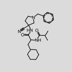 CC(C)C(=O)NC(CC1CCCCC1)C(=O)NC1(C#N)CCN(Cc2ccccc2)C1